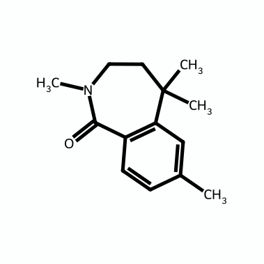 Cc1ccc2c(c1)C(C)(C)CCN(C)C2=O